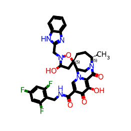 C[C@H]1CC[C@]2(CC(O)N(Cc3nc4ccccc4[nH]3)O2)C2CN1C(=O)c1c(O)c(=O)c(C(=O)NCc3c(F)cc(F)cc3F)cn12